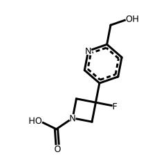 O=C(O)N1CC(F)(c2ccc(CO)nc2)C1